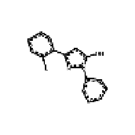 Cc1ccccc1-c1cc(O)n(-c2ccccc2)n1